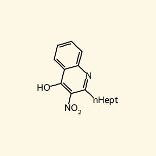 CCCCCCCc1nc2ccccc2c(O)c1[N+](=O)[O-]